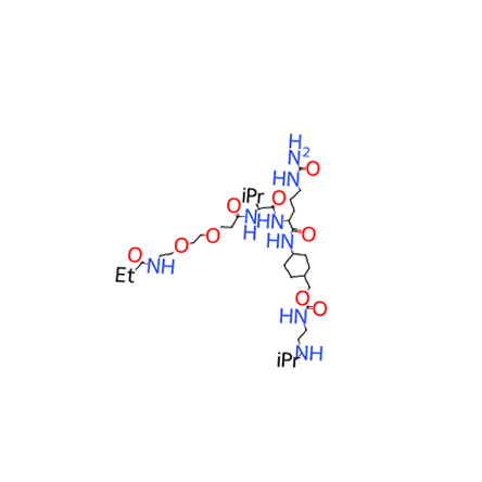 CCC(=O)NCCOCCOCCC(=O)N[C@H](C(=O)NC(CCCNC(N)=O)C(=O)NC1CCC(COC(=O)NCCNC(C)C)CC1)C(C)C